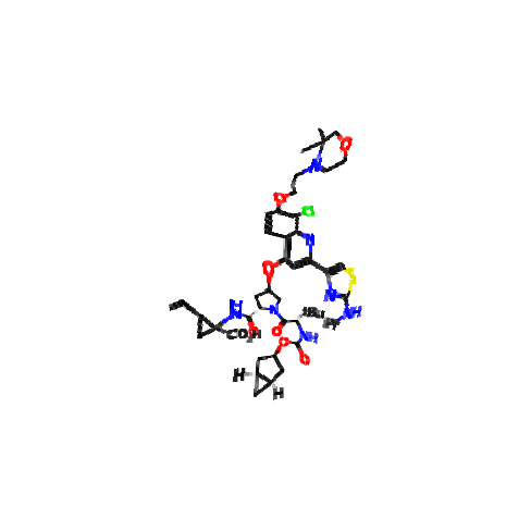 C=C[C@@H]1CC1(NC(=O)[C@@H]1C[C@@H](Oc2cc(-c3csc(NC(C)C)n3)nc3c(Cl)c(OCCN4CCOCC4(C)C)ccc23)CN1C(=O)[C@@H](NC(=O)O[C@@H]1C[C@@H]2C[C@@H]2C1)C(C)(C)C)C(=O)O